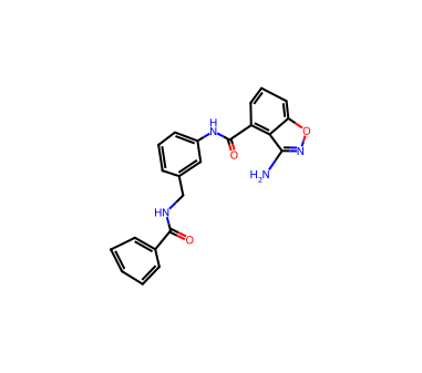 Nc1noc2cccc(C(=O)Nc3cccc(CNC(=O)c4ccccc4)c3)c12